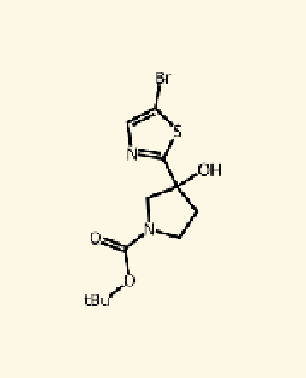 CC(C)(C)OC(=O)N1CCC(O)(c2ncc(Br)s2)C1